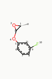 C[C@H]1OC1Oc1cccc(F)c1